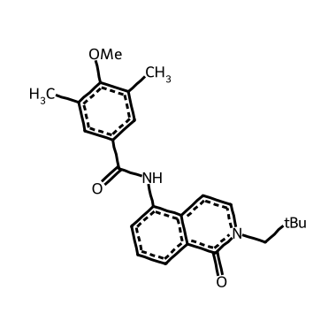 COc1c(C)cc(C(=O)Nc2cccc3c(=O)n(CC(C)(C)C)ccc23)cc1C